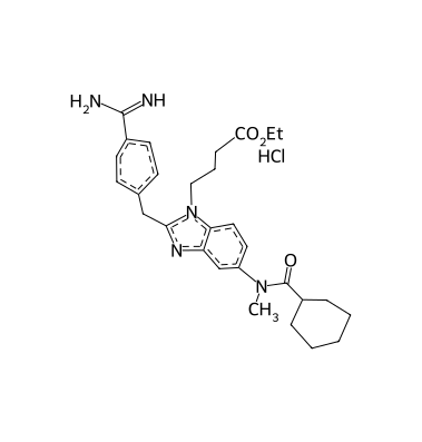 CCOC(=O)CCCn1c(Cc2ccc(C(=N)N)cc2)nc2cc(N(C)C(=O)C3CCCCC3)ccc21.Cl